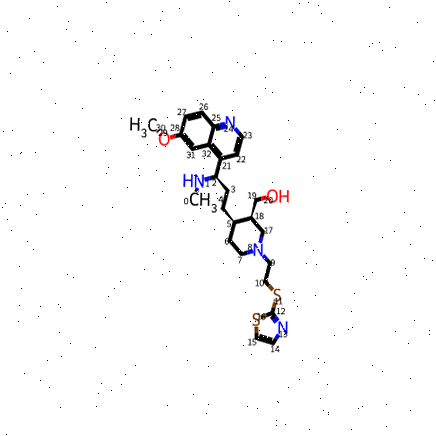 CN[C@H](CC[C@@H]1CCN(CCSc2nccs2)C[C@@H]1CO)c1ccnc2ccc(OC)cc12